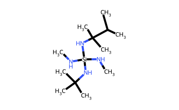 CN[Si](NC)(NC(C)(C)C)NC(C)(C)C(C)C